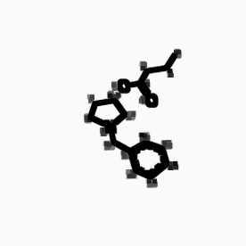 CCCC(=O)O[C@H]1CCN(Cc2ccccc2)C1